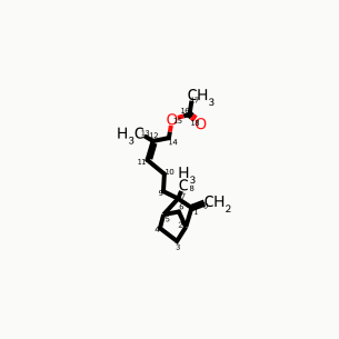 C=C1C2CCC(C2)C1(C)CC/C=C(/C)COC(C)=O